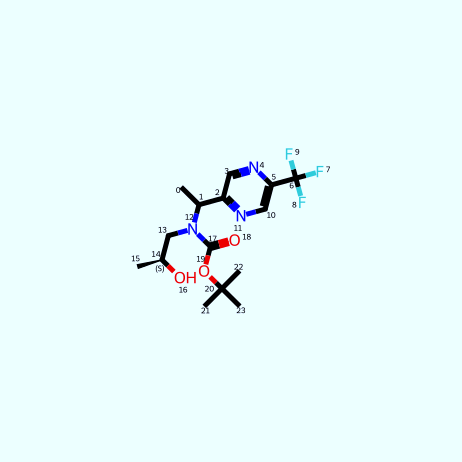 CC(c1cnc(C(F)(F)F)cn1)N(C[C@H](C)O)C(=O)OC(C)(C)C